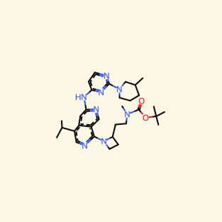 CC1CCCN(c2nccc(Nc3cc4c(C(C)C)cnc(N5CCC5CCN(C)C(=O)OC(C)(C)C)c4cn3)n2)C1